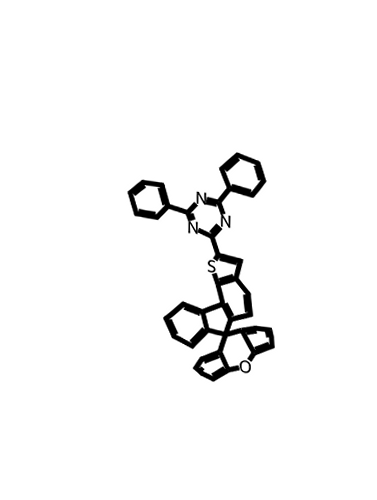 c1ccc(-c2nc(-c3ccccc3)nc(-c3cc4ccc5c(c4s3)-c3ccccc3C53c4ccccc4Oc4ccccc43)n2)cc1